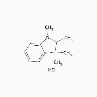 CC1N(C)c2ccccc2C1(C)C.Cl